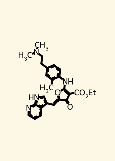 CCOC(=O)C1=C(Nc2ccc(CCN(C)C)cc2C)OC(=Cc2c[nH]c3ncccc23)C1=O